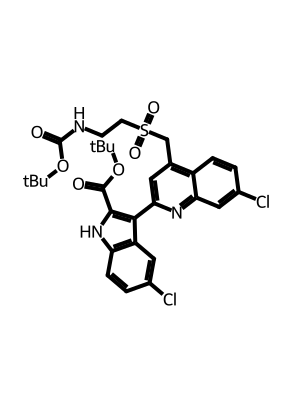 CC(C)(C)OC(=O)NCCS(=O)(=O)Cc1cc(-c2c(C(=O)OC(C)(C)C)[nH]c3ccc(Cl)cc23)nc2cc(Cl)ccc12